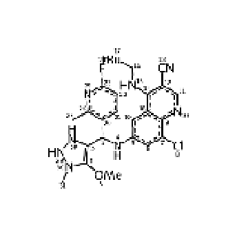 COC1=C(C(Nc2cc(Cl)c3ncc(C#N)c(NCC(C)(C)C)c3c2)c2ccc(F)nc2C)NNN1C